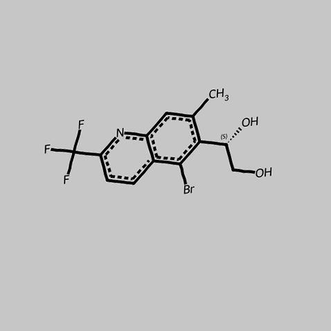 Cc1cc2nc(C(F)(F)F)ccc2c(Br)c1[C@H](O)CO